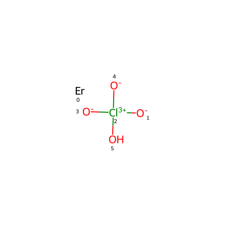 [Er].[O-][Cl+3]([O-])([O-])O